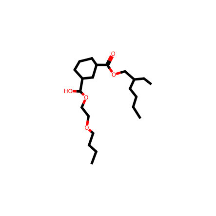 CCCCOCCOC(O)C1CCCC(C(=O)OCC(CC)CCCC)C1